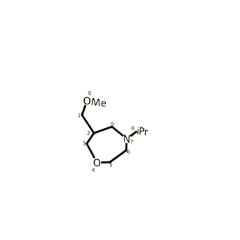 COCC1COCCN(C(C)C)C1